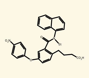 CCN(C(=O)c1cc(Oc2ccc([N+](=O)[O-])cc2)ccc1CCCC(=O)O)c1cccc2ccccc12